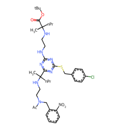 CCCC(C)(NCCNc1nc(SCc2ccc(Cl)cc2)nc(C(C)(CCC)NCCN(Cc2ccccc2[N+](=O)[O-])C(C)=O)n1)C(=O)OC(C)(C)C